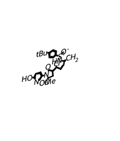 C=C(/C=C\C(Cl)=C1/CC(=O)N(c2ccc(O)nc2OC)C1=O)N[S+]([O-])c1ccc(C(C)(C)C)cc1